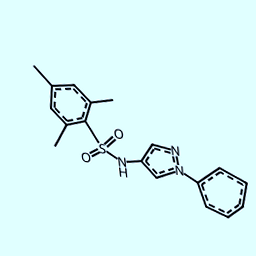 Cc1cc(C)c(S(=O)(=O)Nc2cnn(-c3ccccc3)c2)c(C)c1